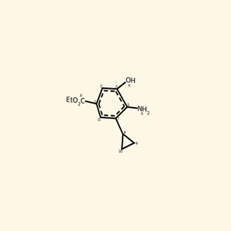 CCOC(=O)c1cc(O)c(N)c(C2CC2)c1